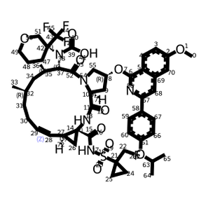 COc1ccc2c(O[C@@H]3C[C@H]4C(=O)N[C@]5(C(=O)NS(=O)(=O)C6(CF)CC6)C[C@H]5/C=C\CC[C@@H](C)C[C@@H](C)[C@H](N(C(=O)O)[C@]5(C(F)(F)F)CCCOC5)C(=O)N4C3)nc(-c3ccc(OC(C)C)cc3)cc2c1